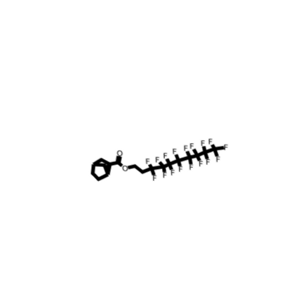 O=C(OCCC(F)(F)C(F)(F)C(F)(F)C(F)(F)C(F)(F)C(F)(F)C(F)(F)C(F)(F)F)C1=C2CCC(C2)C1